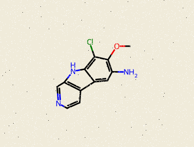 COc1c(N)cc2c([nH]c3cnccc32)c1Cl